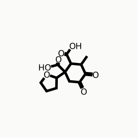 CC1C(=O)C(=O)CC(C(=O)O)(C2CCCO2)C1C(=O)O